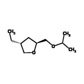 CC[C@H]1CO[C@H](COC(C)C)C1